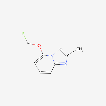 Cc1cn2c(OCF)cccc2n1